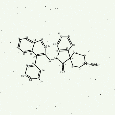 CSN1CCC2(CC1)C(=O)N(Cc1ncc3ccccc3c1-c1cccnc1)c1cnccc12